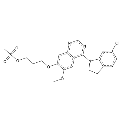 COc1cc2c(N3CCc4ccc(Cl)cc43)ncnc2cc1OCCCOS(C)(=O)=O